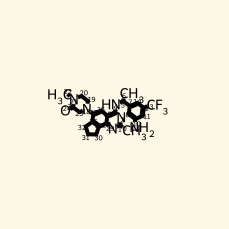 Cc1nc(NC(C)c2cc(N)cc(C(F)(F)F)c2)c2cc(N3CCN(C)C(=O)C3)c3c(c2n1)CCC3